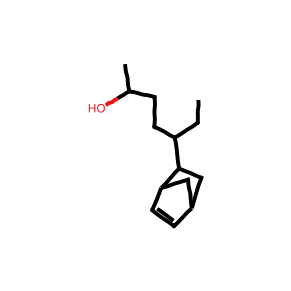 CCC(CCC(C)O)C1CC2C=CC1C2